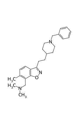 Cc1ccc2c(CCC3CCN(Cc4ccccc4)CC3)noc2c1CN(C)C